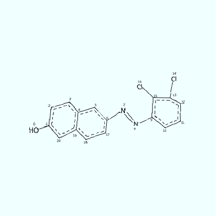 Oc1ccc2cc(N=Nc3cccc(Cl)c3Cl)ccc2c1